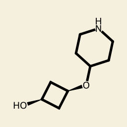 O[C@H]1C[C@@H](OC2CCNCC2)C1